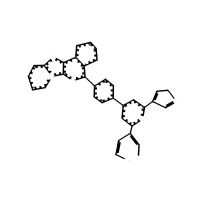 C/C=C(\C=C/N)c1cc(-c2ccc(-c3nc4c(nc5ccccn54)c4ccccc34)cc2)cc(C2=CCN=C2)n1